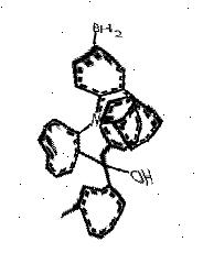 Bc1ccc2c(c1)c1ccccc1n2-c1ccccc1C(O)(c1ccccc1)c1ccccc1